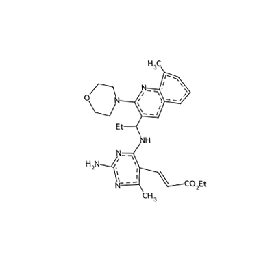 CCOC(=O)/C=C/c1c(C)nc(N)nc1NC(CC)c1cc2cccc(C)c2nc1N1CCOCC1